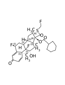 C[C@@H]1C[C@H]2[C@@H]3C[C@H](F)C4=CC(=O)C=C[C@]4(C)C3(F)[C@@H](O)C[C@]2(C)[C@@]1(OC(=O)C1CCCCC1)C(=O)SCF